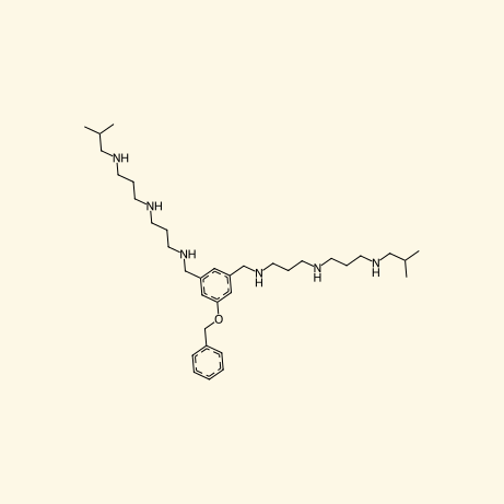 CC(C)CNCCCNCCCNCc1cc(CNCCCNCCCNCC(C)C)cc(OCc2ccccc2)c1